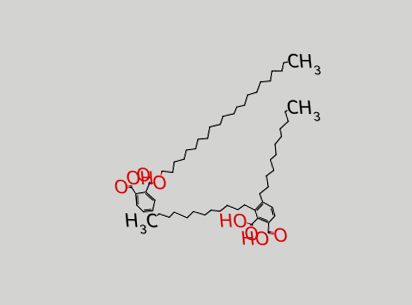 CCCCCCCCCCCCCCCCCCCCCCOC(=O)c1ccccc1C(=O)O.CCCCCCCCCCCCc1ccc(C(=O)O)c(C(=O)O)c1CCCCCCCCCCCC